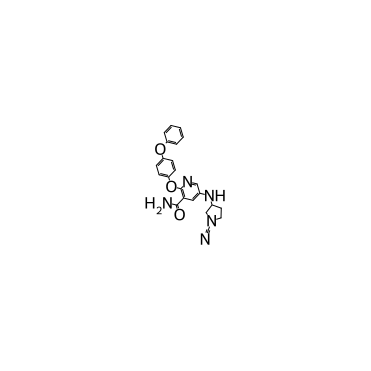 N#CN1CCC(Nc2cnc(Oc3ccc(Oc4ccccc4)cc3)c(C(N)=O)c2)C1